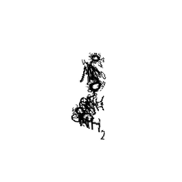 Cc1nn(-c2ccc(CCNC(=O)NS(=O)(=O)c3cccc(S(N)(=O)=O)c3)cc2)c(C)c1-c1ccccc1